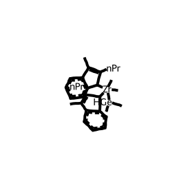 CCCC1=C(C)c2ccccc2[CH]1[Zr]([CH3])([CH3])([CH]1C(CCC)=C(C)c2ccccc21)[GeH]([CH3])[CH3]